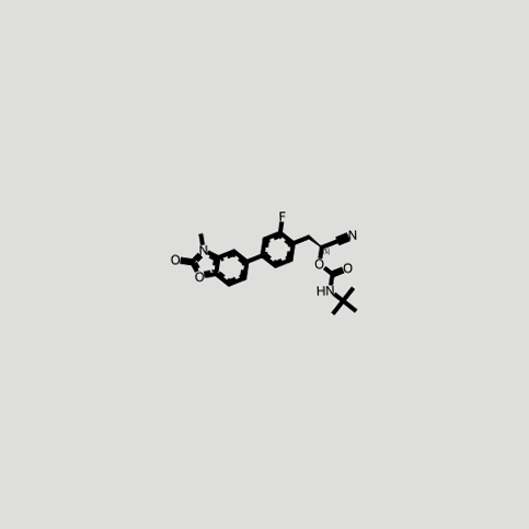 Cn1c(=O)oc2ccc(-c3ccc(C[C@@H](C#N)OC(=O)NC(C)(C)C)c(F)c3)cc21